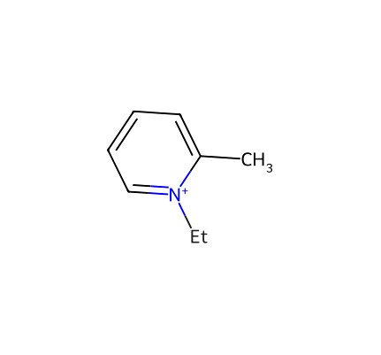 CC[n+]1ccccc1C